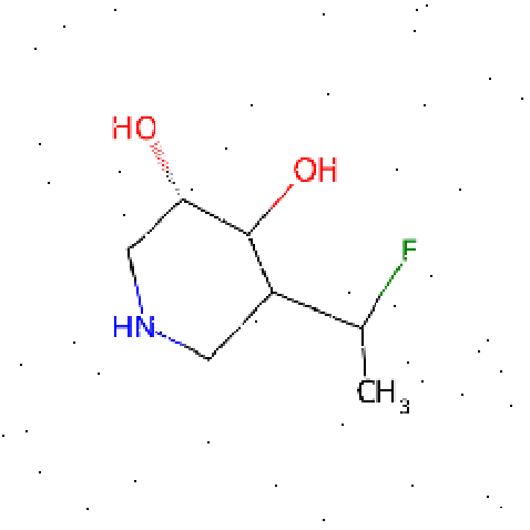 CC(F)C1CNC[C@H](O)C1O